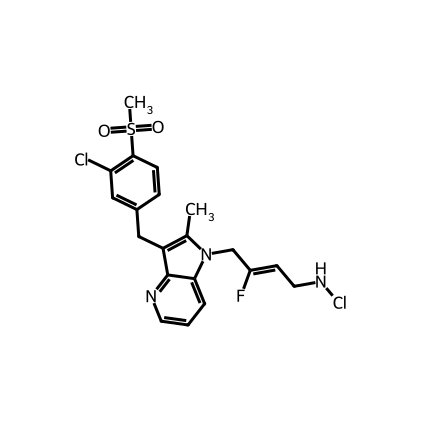 Cc1c(Cc2ccc(S(C)(=O)=O)c(Cl)c2)c2ncccc2n1C/C(F)=C/CNCl